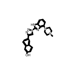 CN1CCN(c2cccc3[nH]c(-n4cc(-c5ccc6cc(O)ccc6c5)nn4)nc23)CC1